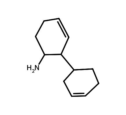 NC1CCC=CC1C1CC=CCC1